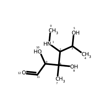 CNC(C(C)O)C(C)(O)C(O)C=O